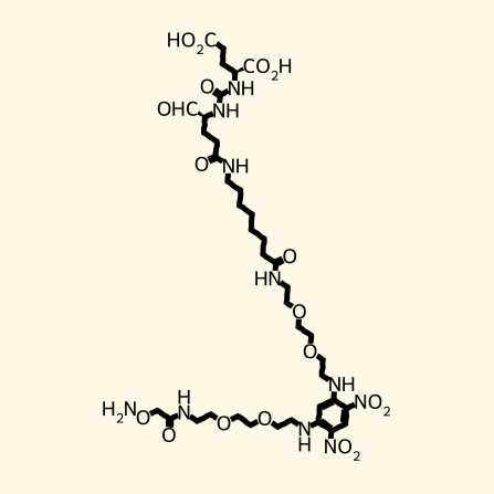 NOCC(=O)NCCOCCOCCNc1cc(NCCOCCOCCNC(=O)CCCCCCCNC(=O)CC[C@@H](C=O)NC(=O)N[C@@H](CCC(=O)O)C(=O)O)c([N+](=O)[O-])cc1[N+](=O)[O-]